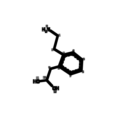 NCCc1ccccc1CC(O)O